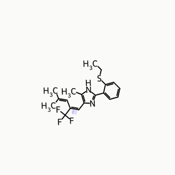 CCSc1ccccc1-c1nc(/C=C(\C=C(C)C)C(F)(F)F)c(C)[nH]1